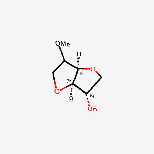 COC1CO[C@H]2[C@@H]1OC[C@@H]2O